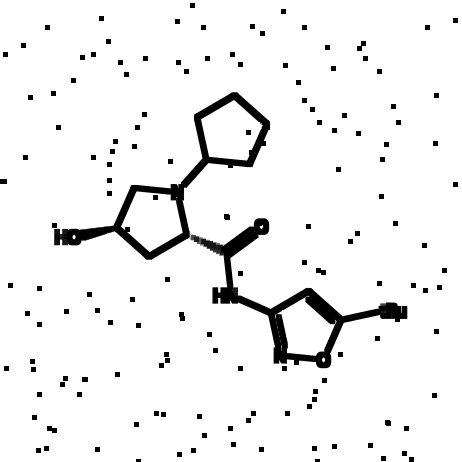 CC(C)(C)c1cc(NC(=O)[C@@H]2C[C@@H](O)CN2C2CCCC2)no1